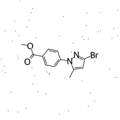 COC(=O)c1ccc(-n2nc(Br)cc2C)cc1